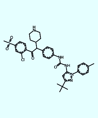 Cc1ccc(-n2nc(C(C)(C)C)cc2NC(=O)Nc2ccc(C(C(=O)c3ccc(S(C)(=O)=O)cc3Cl)C3CCNCC3)cc2)cc1